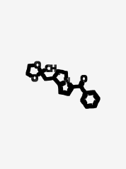 CC1(CC2CCn3c(C(=O)c4ccccc4)ccc32)OCCO1